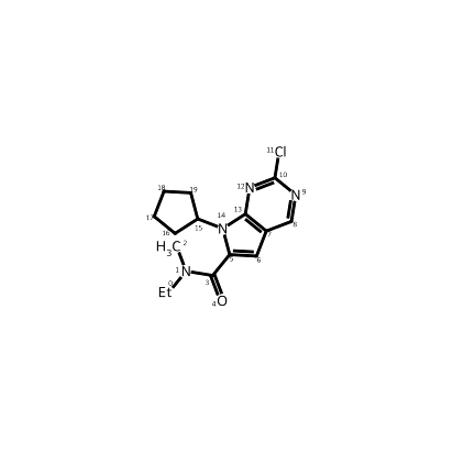 CCN(C)C(=O)c1cc2cnc(Cl)nc2n1C1CCCC1